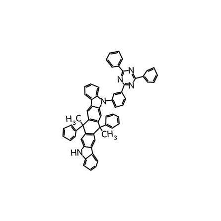 CC1(c2ccccc2)c2cc3[nH]c4ccccc4c3cc2C(C)(c2ccccc2)c2cc3c(cc21)c1ccccc1n3-c1cccc(-c2nc(-c3ccccc3)nc(-c3ccccc3)n2)c1